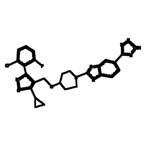 Fc1cccc(Cl)c1-c1noc(C2CC2)c1COC1CCN(c2nc3ccc(-c4nn[nH]n4)cc3s2)CC1